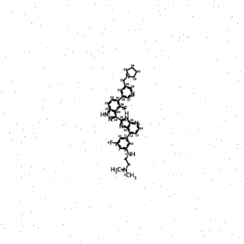 CN(C)CCNc1cc(F)cc(-c2ccnc3[nH]c(-c4n[nH]c5ccc(-c6cncc(CN7CCCC7)c6)c(F)c45)nc23)c1